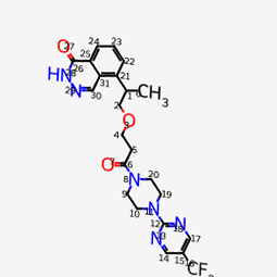 CC(COCCC(=O)N1CCN(c2ncc(C(F)(F)F)cn2)CC1)c1cccc2c(=O)[nH]ncc12